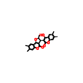 Cc1cc2oc(=O)c(C3c4c(c5cc(C)c(C)cc5oc4=O)OC3C)c(O)c2cc1C